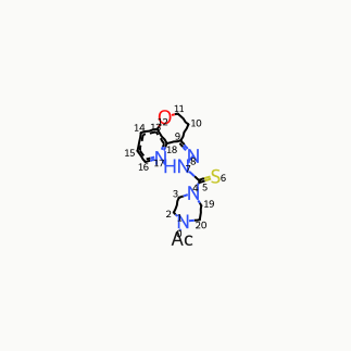 CC(=O)N1CCN(C(=S)N/N=C2/CCOc3cccnc32)CC1